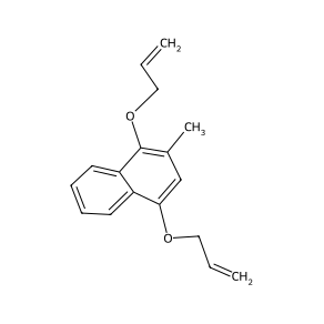 C=CCOc1cc(C)c(OCC=C)c2ccccc12